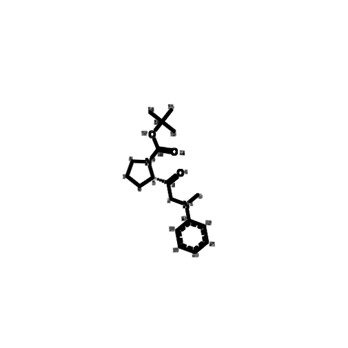 CN(CC(=O)[C@@H]1CCCN1C(=O)OC(C)(C)C)c1ccccc1